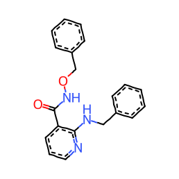 O=C(NOCc1ccccc1)c1cccnc1NCc1ccccc1